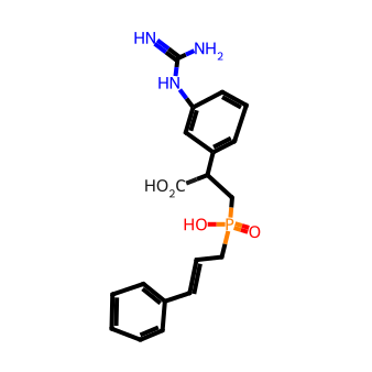 N=C(N)Nc1cccc(C(CP(=O)(O)CC=Cc2ccccc2)C(=O)O)c1